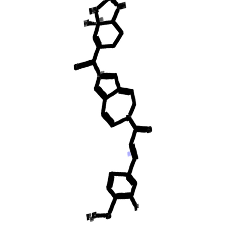 O=C(/C=C/c1ccc(OC(F)(F)F)c(F)c1)N1C=CC2=C[N+](C(=O)C3=C[C@H]4NNNC4CC3)=CC2=CC1